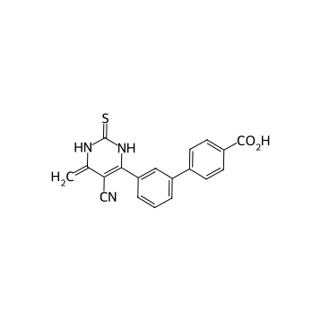 C=C1NC(=S)NC(c2cccc(-c3ccc(C(=O)O)cc3)c2)=C1C#N